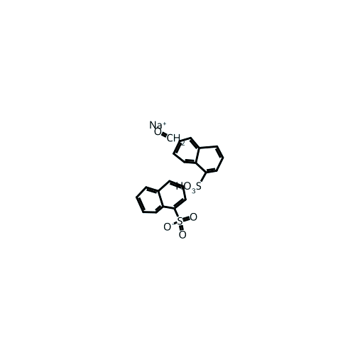 C=O.O=S(=O)(O)c1cccc2ccccc12.O=S(=O)([O-])c1cccc2ccccc12.[Na+]